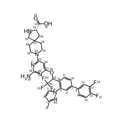 Cc1ccn(-c2cc(-c3ccc(F)c(F)c3)ccc2C(Oc2cc(N3CCC4(CC3)CN[C@H](C(=O)O)C4)nc(N)n2)C(F)(F)F)n1